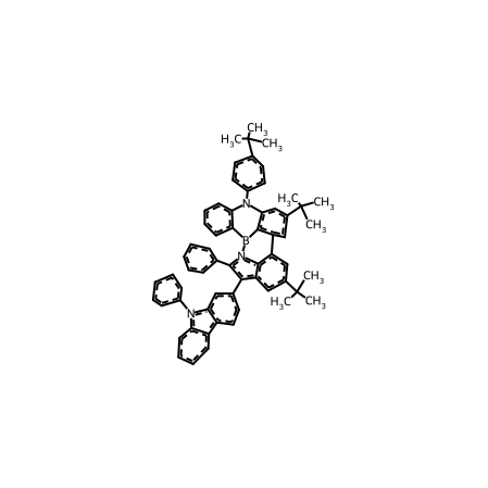 CC(C)(C)c1ccc(N2c3ccccc3B3c4c(cc(C(C)(C)C)cc42)-c2cc(C(C)(C)C)cc4c(-c5ccc6c7ccccc7n(-c7ccccc7)c6c5)c(-c5ccccc5)n3c24)cc1